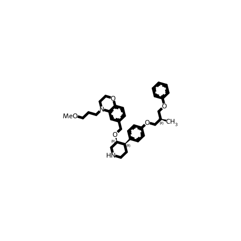 COCCCN1CCOc2ccc(CO[C@H]3CNCC[C@@H]3c3ccc(OC[C@H](C)COc4ccccc4)cc3)cc21